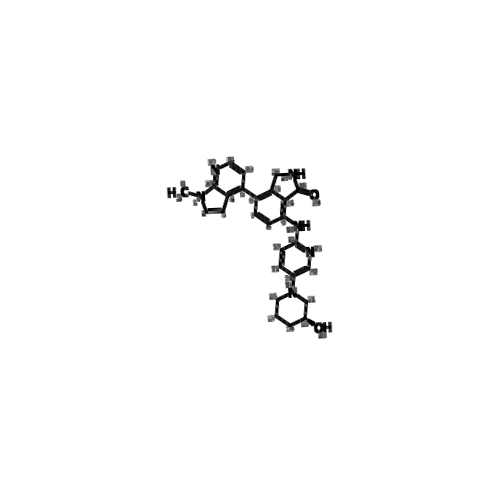 Cn1ccc2c(-c3ccc(Nc4ccc(N5CCC[C@H](O)C5)cn4)c4c3CNC4=O)ccnc21